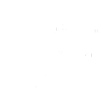 C=C(C)C(=O)Oc1c(C(=O)O)ccc2ccccc12